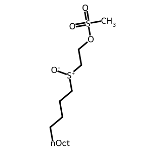 CCCCCCCCCCCC[S+]([O-])CCOS(C)(=O)=O